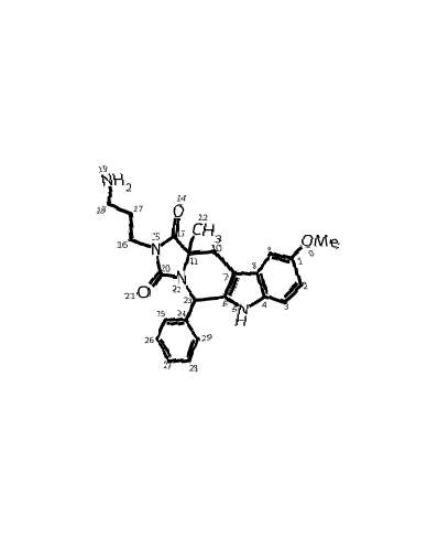 COc1ccc2[nH]c3c(c2c1)CC1(C)C(=O)N(CCCN)C(=O)N1C3c1ccccc1